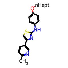 CCCCCCCOc1ccc(Nc2nc(-c3ccc(C)nc3)cs2)cc1